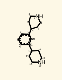 [c]1ccc(C2CCNCC2)cc1C1CCNCC1